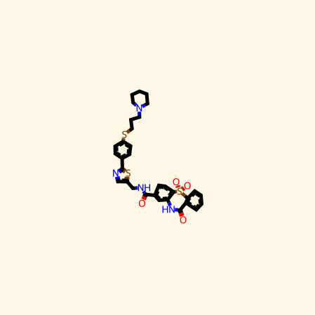 O=C(NCc1cnc(-c2ccc(SCCCN3CCCCC3)cc2)s1)c1ccc2c(c1)NC(=O)c1ccccc1S2(=O)=O